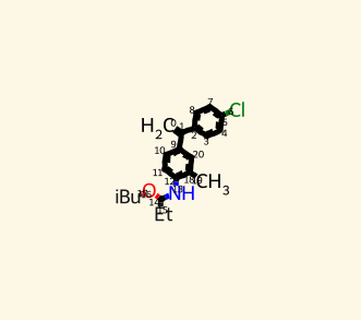 C=C(c1ccc(Cl)cc1)c1ccc(NC(CC)OC(C)CC)c(C)c1